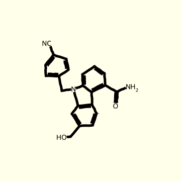 N#Cc1ccc(Cn2c3cc(CO)c[c]c3c3c(C(N)=O)cccc32)cc1